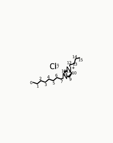 CCCCCCCCn1cc[n+](CCCC)c1.[Cl-]